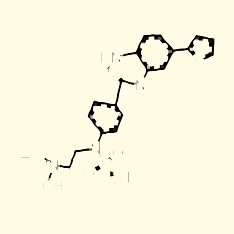 CN(C)CCN(c1ccc(C(=O)Nc2cc(-c3cccs3)ccc2N)cc1)S(C)(=O)=O